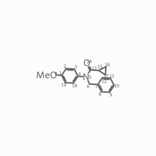 COc1ccc(N(Cc2ccccc2)C(=O)C2CC2)cc1